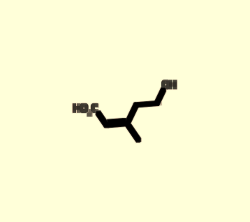 C/C(=C/C(=O)O)C[CH]O